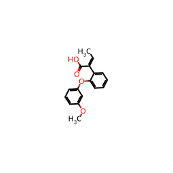 CC=C(C(=O)O)c1ccccc1Oc1cccc(OC)c1